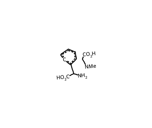 CNCC(=O)O.NC(C(=O)O)c1ccccc1